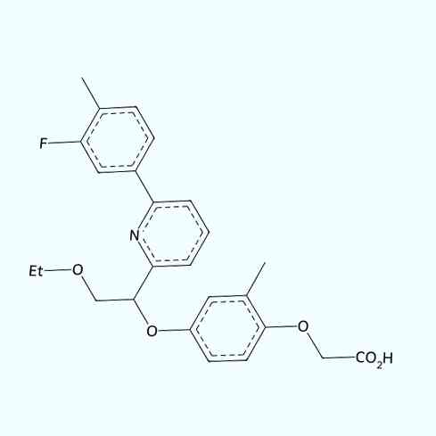 CCOCC(Oc1ccc(OCC(=O)O)c(C)c1)c1cccc(-c2ccc(C)c(F)c2)n1